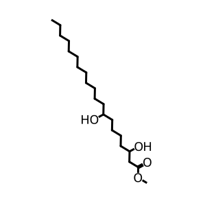 CCCCCCCCCCCCC(O)CCCCC(O)CC(=O)OC